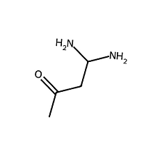 CC(=O)CC(N)N